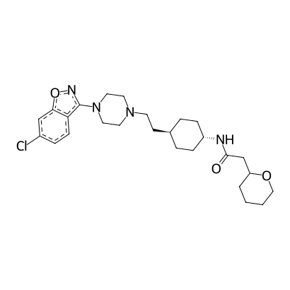 O=C(CC1CCCCO1)N[C@H]1CC[C@H](CCN2CCN(c3noc4cc(Cl)ccc34)CC2)CC1